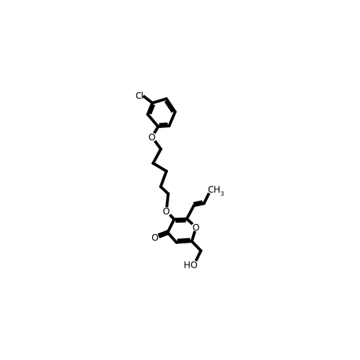 CC=Cc1oc(CO)cc(=O)c1OCCCCCOc1cccc(Cl)c1